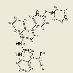 O=C(Nc1ccccc1OC(F)F)Nc1ccc(-c2ccc(CN3CCOCC3)nc2)c2ccccc12